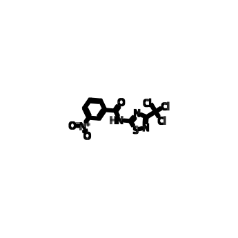 O=C(Nc1nc(C(Cl)(Cl)Cl)ns1)c1cccc([N+](=O)[O-])c1